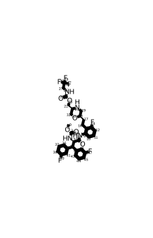 COC(=O)N[C@H](C(=O)Nc1cccc(F)c1CC[C@@H]1CN[C@H](COC(=O)NCC(F)(F)F)CO1)C(c1cccc(F)c1)c1cccc(F)c1